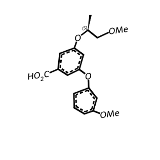 COC[C@H](C)Oc1cc(Oc2cccc(OC)c2)cc(C(=O)O)c1